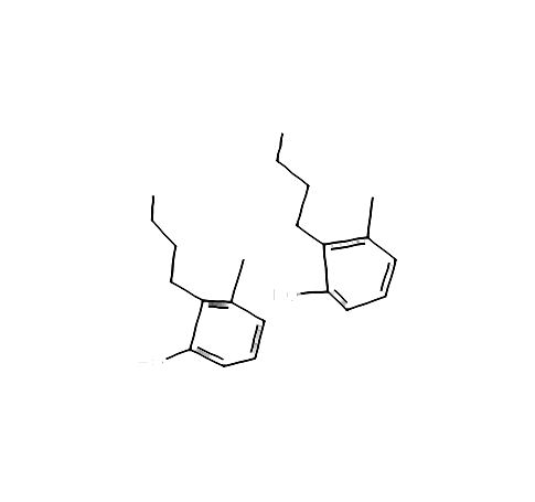 CCCCc1c(C)cccc1O.CCCCc1c(C)cccc1O